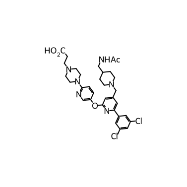 CC(=O)NCC1CCN(Cc2cc(Oc3ccc(N4CCN(CCC(=O)O)CC4)nc3)nc(-c3cc(Cl)cc(Cl)c3)c2)CC1